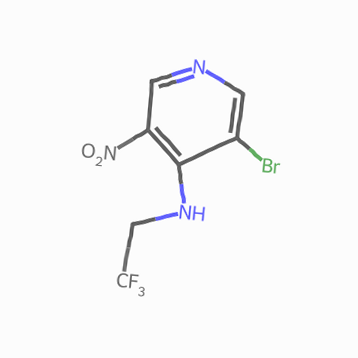 O=[N+]([O-])c1cncc(Br)c1NCC(F)(F)F